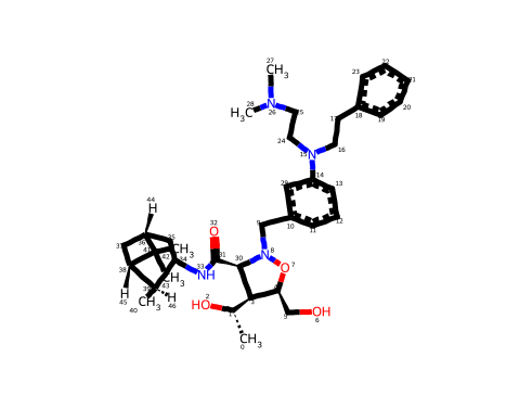 C[C@H](O)[C@@H]1[C@H](CO)ON(Cc2cccc(N(CCc3ccccc3)CCN(C)C)c2)[C@@H]1C(=O)NC1C[C@H]2C[C@@H]([C@@H]1C)C2(C)C